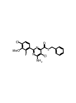 COc1c(Cl)ccc(-c2nc(N)c(Cl)c(C(=O)SCc3ccccc3)n2)c1F